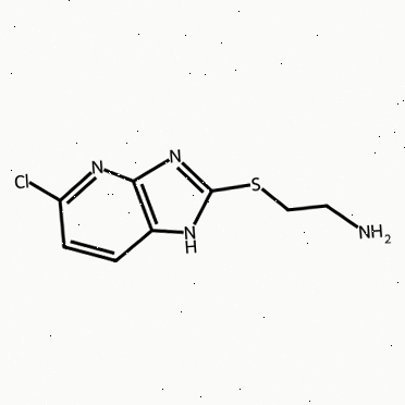 NCCSc1nc2nc(Cl)ccc2[nH]1